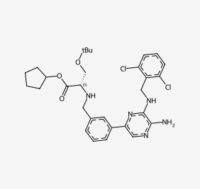 CC(C)(C)OC[C@H](NCc1cccc(-c2cnc(N)c(NCc3c(Cl)cccc3Cl)n2)c1)C(=O)OC1CCCC1